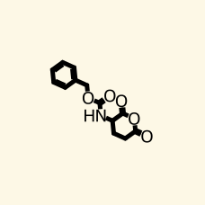 O=C1CCC(NC(=O)OCc2ccccc2)C(=O)O1